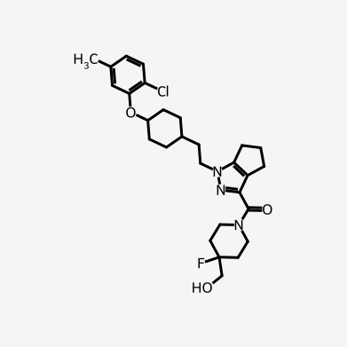 Cc1ccc(Cl)c(OC2CCC(CCn3nc(C(=O)N4CCC(F)(CO)CC4)c4c3CCC4)CC2)c1